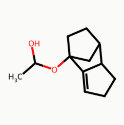 CC(O)OC12CCC(C1)C1CCC=C12